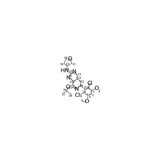 COc1cc(OC)c(Cl)c(-c2cc3cnc(NC4CCOC4)nc3c(OC(C)C)n2)c1Cl